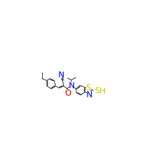 CCc1ccc(C=C(C#N)C(=O)N(c2ccc3nc(S)sc3c2)C(C)C)cc1